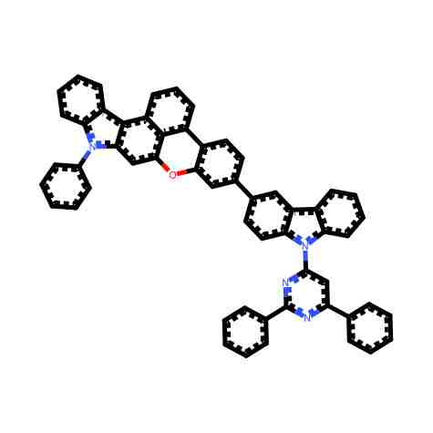 c1ccc(-c2cc(-n3c4ccccc4c4cc(-c5ccc6c(c5)Oc5cc7c(c8cccc-6c58)c5ccccc5n7-c5ccccc5)ccc43)nc(-c3ccccc3)n2)cc1